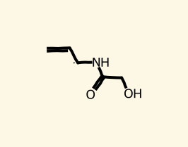 C=C[CH]NC(=O)CO